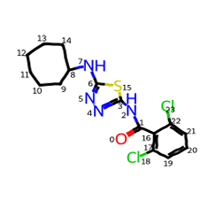 O=C(Nc1nnc(NC2CCCCCC2)s1)c1c(Cl)cccc1Cl